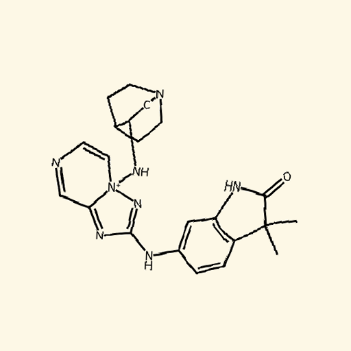 CC1(C)C(=O)Nc2cc(NC3=N[N+]4(NC5CN6CCC5CC6)C=CN=CC4=N3)ccc21